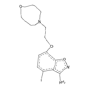 Nc1noc2c(OCCN3CCOCC3)ccc(I)c12